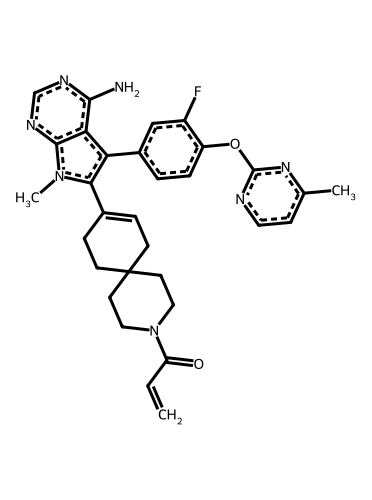 C=CC(=O)N1CCC2(CC=C(c3c(-c4ccc(Oc5nccc(C)n5)c(F)c4)c4c(N)ncnc4n3C)CC2)CC1